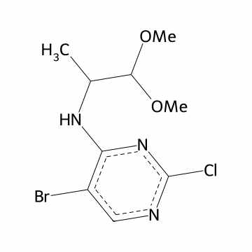 COC(OC)C(C)Nc1nc(Cl)ncc1Br